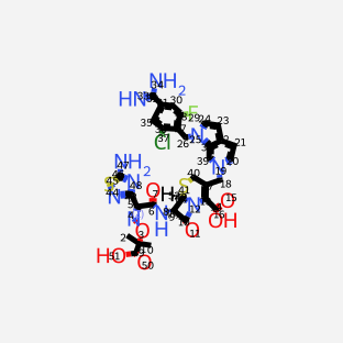 CC(C)(O/N=C(\C(=O)N[C@@H]1C(=O)N2C(C(=O)O)=C(C[n+]3ccc4ccn(Cc5c(F)cc(C(=N)N)cc5Cl)c4c3)CS[C@H]12)c1nsc(N)n1)C(=O)O